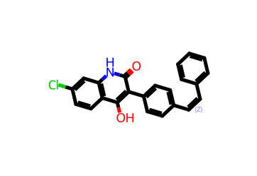 O=c1[nH]c2cc(Cl)ccc2c(O)c1-c1ccc(/C=C\c2ccccc2)cc1